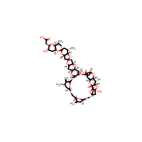 C=C1C[C@@H]2CC[C@@]34C[C@]5(O)O[C@H]6[C@@H](O3)[C@H]3O[C@H](CC[C@@H]3O[C@H]6C5O4)CC(=O)O[C@@H]3[C@@H](C)[C@@H]4O[C@@H]5C[C@]6(C[C@@H]7O[C@]8(C[C@H](C)[C@@H]9O[C@H](CC(=O)O)[C@H](O)C[C@@H]9O8)C[C@H](C)[C@@H]7O6)O[C@@H]5C[C@@H]4O[C@H]3C[C@H]3O[C@@H](CC[C@@H]1O2)C[C@@H](C)C3=C